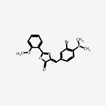 COc1ccccc1C1=N/C(=C\c2ccc(N(C)C)c(Br)c2)C(=O)O1